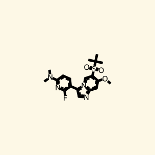 COc1cc2ncc(-c3ccc(N(C)C)nc3F)n2cc1S(=O)(=O)C(C)(C)C